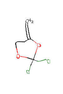 C=C1COC(Cl)(Cl)O1